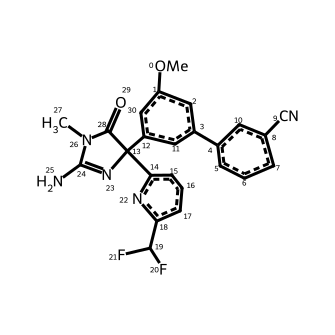 COc1cc(-c2cccc(C#N)c2)cc(C2(c3cccc(C(F)F)n3)N=C(N)N(C)C2=O)c1